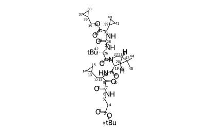 CC(C)(C)OC(=O)CCNC(=O)C(=O)C(CC1CC1)NC(=O)[C@@H]1[C@@H]2[C@H](CN1C(=O)[C@@H](NC(=O)N[C@H](C(=O)OCC1CC1)C1CC1)C(C)(C)C)C2(C)C